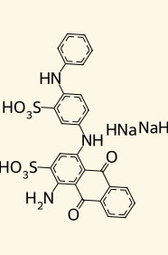 Nc1c(S(=O)(=O)O)cc(Nc2ccc(Nc3ccccc3)c(S(=O)(=O)O)c2)c2c1C(=O)c1ccccc1C2=O.[NaH].[NaH]